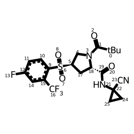 CC(C)(C)C(=O)N1C[C@H](S(=O)(=O)c2ccc(F)cc2C(F)(F)F)C[C@H]1C(=O)NC1(C#N)CC1